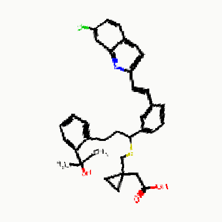 CC(C)(O)c1ccccc1CCC(SCC1(CC(=O)O)CC1)c1cccc(/C=C/c2ccc3ccc(Cl)cc3n2)c1